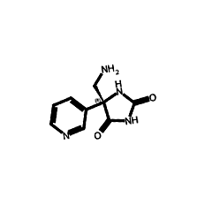 NC[C@@]1(c2cccnc2)NC(=O)NC1=O